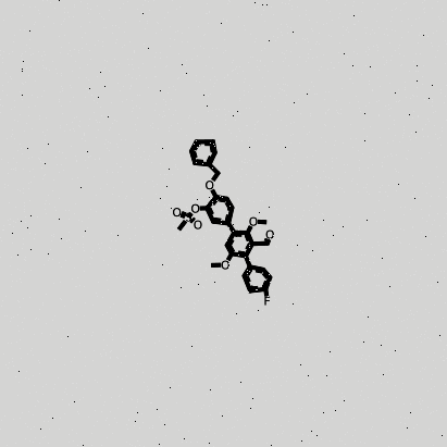 COc1cc(-c2ccc(OCc3ccccc3)c(OS(C)(=O)=O)c2)c(OC)c(C=O)c1-c1ccc(F)cc1